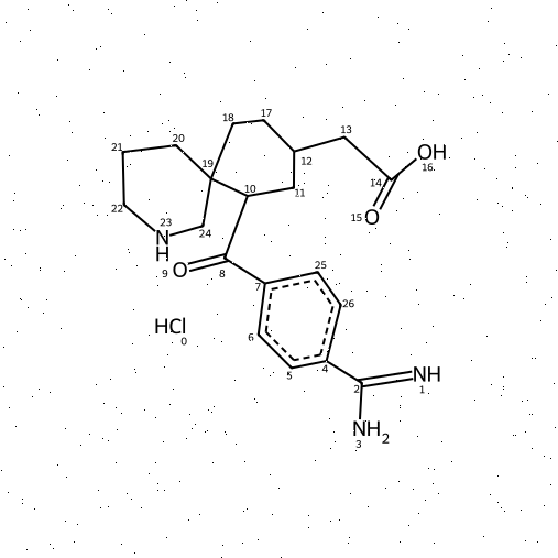 Cl.N=C(N)c1ccc(C(=O)C2CC(CC(=O)O)CCC23CCCNC3)cc1